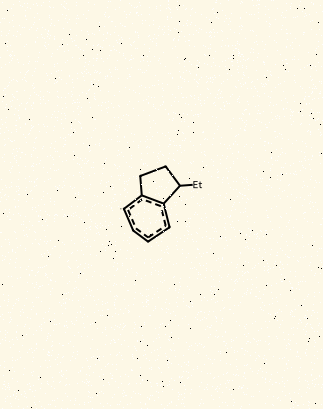 CCC1CCc2[c]cccc21